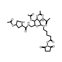 CC(=O)NC1C(OCCCCC(=O)ON2C(=O)CCC2=O)OC(CNC(=O)C2CC(OC(C)=O)CN2)C(OC(C)=O)C1OC(C)=O